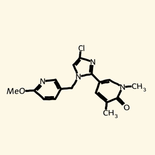 COc1ccc(Cn2cc(Cl)nc2-c2cc(C)c(=O)n(C)c2)cn1